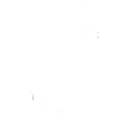 CC(CCCCCC/C=C\CCCCCCCC(C)(C(=O)O)c1ccccc1)(C(=O)O)c1ccccc1